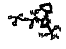 Cc1ccccc1-n1nc(C(C)(C)C)cc1NC(=O)OCC(Cl)(Cl)Cl